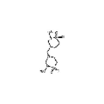 CCCCN1CN(CN2CCS(=O)(=O)N(CCCC)C2)CCS1(=O)=O